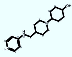 OC1CCC(N2CCC(CNc3ccncc3)CC2)CC1